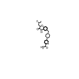 CNC(=O)c1ccc(N2CCN(Cc3ccc4c(c3)NC(=O)C(CC(F)F)O4)CC2)cn1